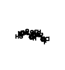 C[C@H]1C(=O)N2[C@@H](CCC(=O)N3CCC4(CC4)C(O)C3)CCC[C@H]2CN1C(=O)C=Cc1ccc(F)c(Cl)c1